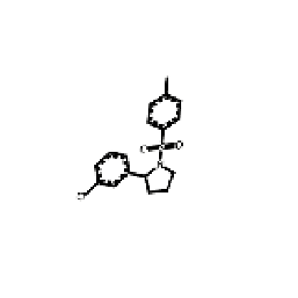 Cc1ccc(S(=O)(=O)N2CCCC2c2cccc(Cl)c2)cc1